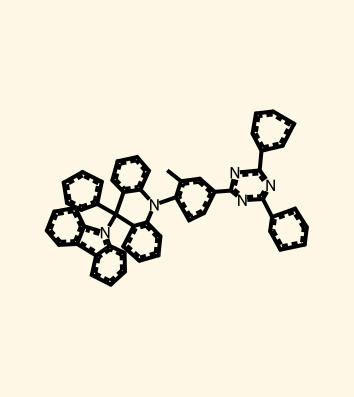 Cc1cc(-c2nc(-c3ccccc3)nc(-c3ccccc3)n2)ccc1N1c2ccccc2C(c2ccccc2)(n2c3ccccc3c3ccccc32)c2ccccc21